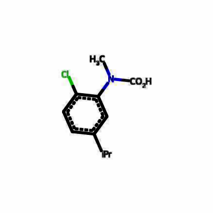 CC(C)c1ccc(Cl)c(N(C)C(=O)O)c1